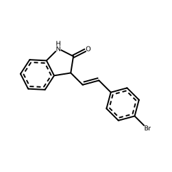 O=C1Nc2ccccc2C1C=Cc1ccc(Br)cc1